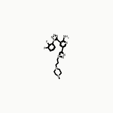 CN1CCN(CCCn2cc(-c3cnc(N)c(-c4nnnn4-c4cccc(F)c4F)c3)nn2)CC1